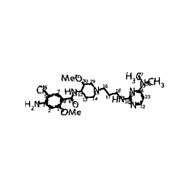 COc1cc(N)c(Cl)cc1C(=O)NC1CCN(CCCNc2nccc(N(C)C)n2)CC1OC